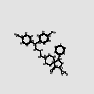 CN1CN(c2ccccc2)C2(CCN(CCCC(c3ccc(F)cc3)c3ccc(F)cc3)CC2)C1=O